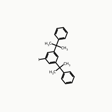 CC(C)(c1ccccc1)c1cc(I)cc(C(C)(C)c2ccccc2)c1